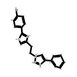 Brc1ccc(-c2nc(CCn3cc(-c4ccccc4)nn3)cs2)cc1